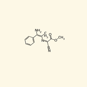 COC(=O)C(C#N)=NC(C)=C(N)c1ccccc1